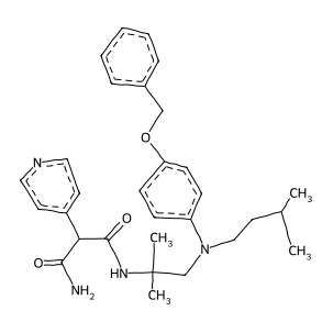 CC(C)CCN(CC(C)(C)NC(=O)C(C(N)=O)c1ccncc1)c1ccc(OCc2ccccc2)cc1